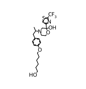 CC(Cc1ccc(OCCCCCCO)cc1)N1CCOC(O)(c2csc(C(F)(F)F)n2)C1